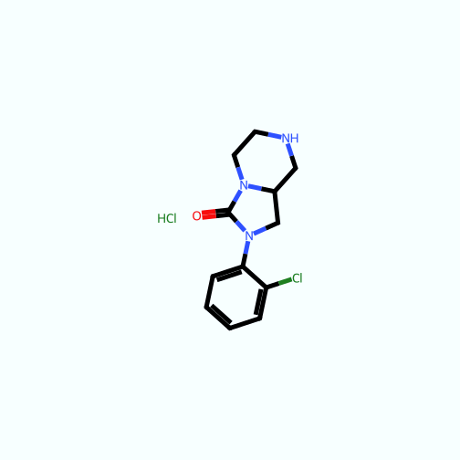 Cl.O=C1N(c2ccccc2Cl)CC2CNCCN12